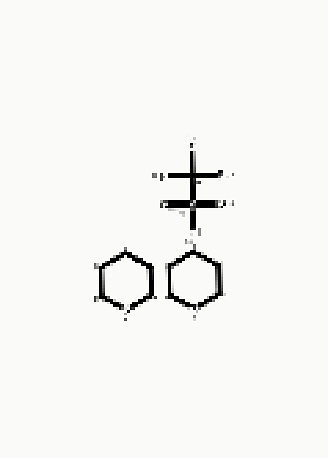 C1CCSCC1.C1CCSCC1.O=S(=O)(O)C(F)(F)F